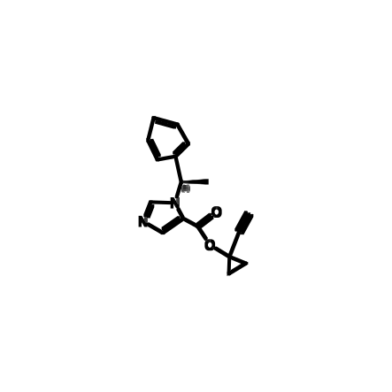 C#CC1(OC(=O)c2cncn2[C@H](C)c2ccccc2)CC1